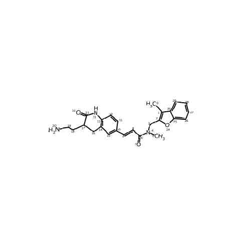 Cc1c(CN(C)C(=O)/C=C/c2ccc3c(c2)CC(CCN)C(=O)N3)oc2ccccc12